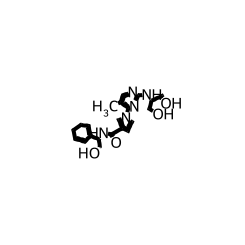 Cc1cnc(NC(CO)CO)nc1-n1ccc(C(=O)NC(CO)C2=CCCC=C2)c1